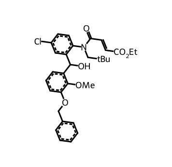 CCOC(=O)/C=C/C(=O)N(CC(C)(C)C)c1ccc(Cl)cc1C(O)c1cccc(OCc2ccccc2)c1OC